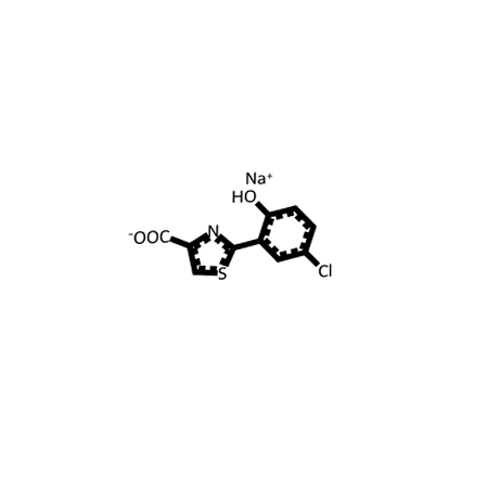 O=C([O-])c1csc(-c2cc(Cl)ccc2O)n1.[Na+]